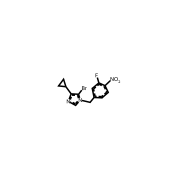 O=[N+]([O-])c1ccc(Cn2cnc(C3CC3)c2Br)cc1F